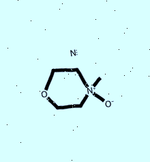 C[N+]1([O-])CCOCC1.[N]